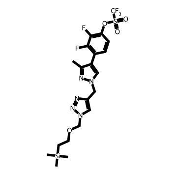 Cc1nn(Cc2cn(COCC[Si](C)(C)C)nn2)cc1-c1ccc(OS(=O)(=O)C(F)(F)F)c(F)c1F